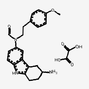 COc1ccc(CCN(C=O)c2ccc3[nH]c4c(c3c2)CC(N)CC4)cc1.O=C(O)C(=O)O